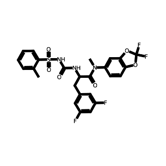 Cc1ccccc1S(=O)(=O)NC(=O)NC(Cc1cc(F)cc(F)c1)C(=O)N(C)c1ccc2c(c1)OC(F)(F)O2